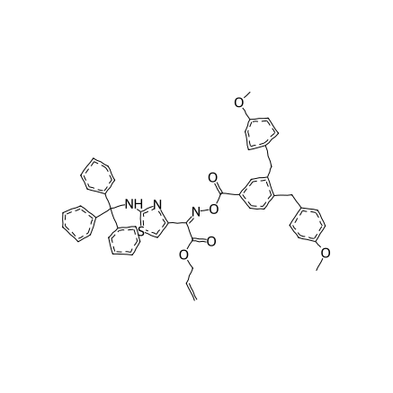 C=CCOC(=O)/C(=N\OC(=O)c1ccc(Cc2ccc(OC)cc2)c(Cc2ccc(OC)cc2)c1)c1csc(NC(c2ccccc2)(c2ccccc2)c2ccccc2)n1